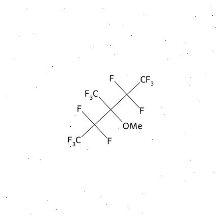 COC(C(F)(F)F)(C(F)(F)C(F)(F)F)C(F)(F)C(F)(F)F